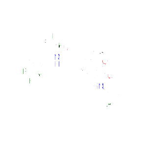 Cc1cc2c(C=CC(=O)NC(c3cccc(C(F)(F)F)c3)C(F)(F)F)ccc(C(=O)N[C@H]3C[C@@H]3F)c2o1